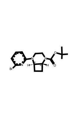 CC(C)(C)OC(=O)N1CCN(c2cccc(Br)n2)[C@@H]2CC[C@H]21